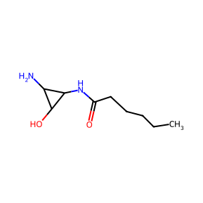 CCCCCC(=O)NC1C(N)C1O